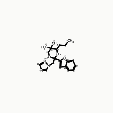 CCCC1OC(Cn2cncn2)(c2cc3ccccc3o2)OCC1(C)C